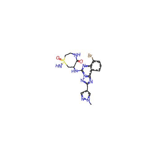 Cn1cc(-c2nc3c4cccc(Br)c4nc(N[C@H]4CS(=N)(=O)CCNC4=O)n3n2)cn1